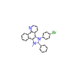 CN1c2c(c3cccnc3c3ccccc23)N(c2ccc(Br)cc2)C1c1ccccc1